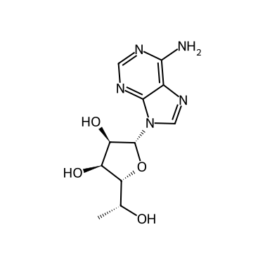 C[C@@H](O)[C@H]1O[C@@H](n2cnc3c(N)ncnc32)[C@H](O)[C@@H]1O